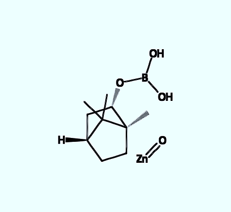 CC1(C)[C@@H]2CC[C@]1(C)[C@@H](OB(O)O)C2.[O]=[Zn]